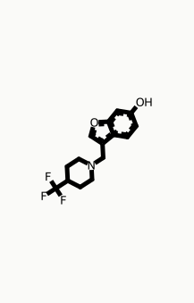 Oc1ccc2c(CN3CCC(C(F)(F)F)CC3)coc2c1